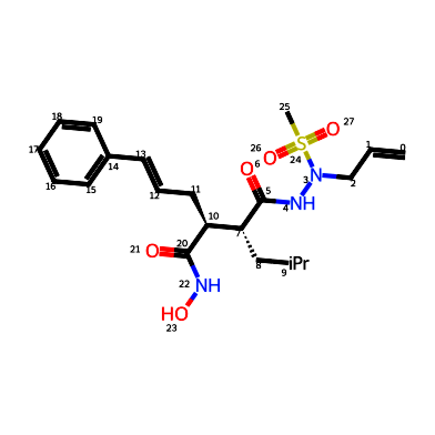 C=CCN(NC(=O)[C@H](CC(C)C)[C@H](CC=Cc1ccccc1)C(=O)NO)S(C)(=O)=O